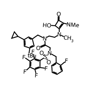 CNC1=C(N(C)CCN(Cc2cc(C3CC3)cc(C(C)(C)C)c2)C(=O)CN(Cc2ccccc2F)S(=O)(=O)c2c(F)c(F)c(F)c(F)c2F)C(O)C1=O